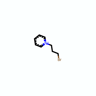 BrCCC[n+]1ccccc1